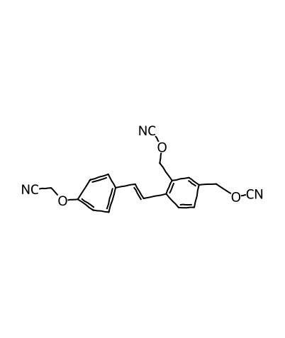 N#CCOc1ccc(/C=C/c2ccc(COC#N)cc2COC#N)cc1